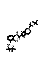 CC(C)(C)OC(=O)N1CCc2nc(C(=O)Nc3cccc(B4OC(C)(C)C(C)(C)O4)c3Cl)sc2C1